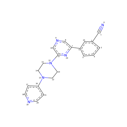 N#Cc1cccc(-c2cncc(N3CCN(c4ccncc4)CC3)n2)c1